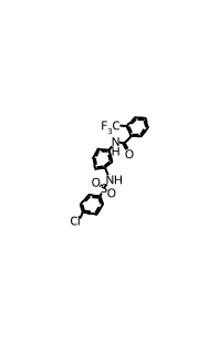 O=C(Nc1cccc(NS(=O)(=O)c2ccc(Cl)cc2)c1)c1ccccc1C(F)(F)F